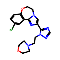 Brc1ccc2c(c1)-c1nc(-c3ncnn3CCN3CCOCC3)cn1CCO2